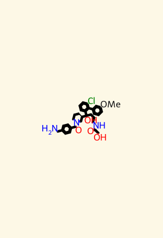 COc1cccc(-c2c(Cl)cccc2[C@](O)(CCCNC(=O)CO)[C@@H]2CCCN(C(=O)c3ccc(CN)cc3)C2)c1